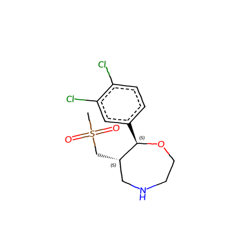 CS(=O)(=O)C[C@H]1CNCCO[C@@H]1c1ccc(Cl)c(Cl)c1